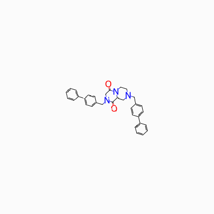 O=C1C2CN(Cc3ccc(-c4ccccc4)cc3)CCN2C(=O)CN1Cc1ccc(-c2ccccc2)cc1